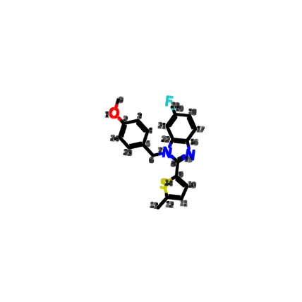 COc1ccc(Cn2c(-c3ccc(C)s3)nc3ccc(F)cc32)cc1